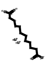 O=C([O-])CCCCCCCCCCC(=O)[O-].[Li+].[Li+]